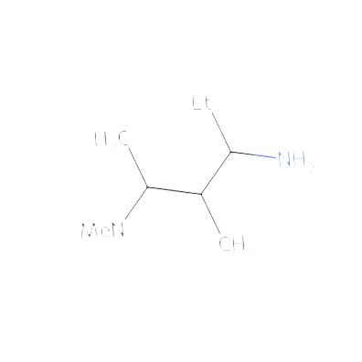 CCC(N)C(C)C(C)NC